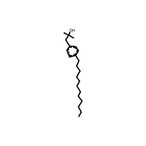 CCCCCCCCCCCCc1ccc(CC(C)(C)O)cc1